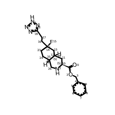 O=C(OCc1ccccc1)[C@@H]1C[C@H]2C[C@@](F)(CCc3nn[nH]n3)CC[C@H]2CN1